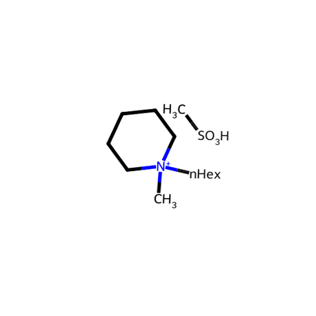 CCCCCC[N+]1(C)CCCCC1.CS(=O)(=O)O